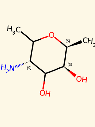 CC1O[C@@H](C)[C@@H](O)C(O)[C@@H]1N